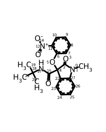 CN1C(=O)C(Oc2ccccc2[N+](=O)[O-])(C(=O)NC(C)(C)C)c2ccccc21